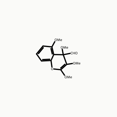 COC1=C(OC)C(C=O)(OC)c2c(OC)cccc2O1